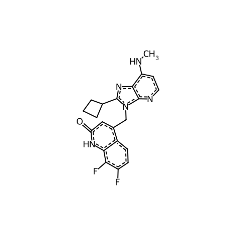 CNc1ccnc2c1nc(C1CCC1)n2Cc1cc(=O)[nH]c2c(F)c(F)ccc12